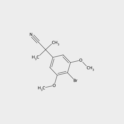 COc1cc(C(C)(C)C#N)cc(OC)c1Br